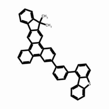 CC1(C)c2ccccc2-c2cc3c4ccccc4c4cc(-c5cccc(-c6cccc7sc8ccccc8c67)c5)ccc4c3cc21